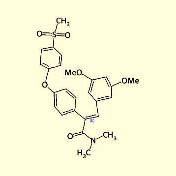 COc1cc(/C=C(/C(=O)N(C)C)c2ccc(Oc3ccc(S(C)(=O)=O)cc3)cc2)cc(OC)c1